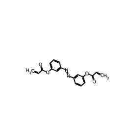 C=CC(=O)Oc1cccc(N=Nc2cccc(OC(=O)C=C)c2)c1